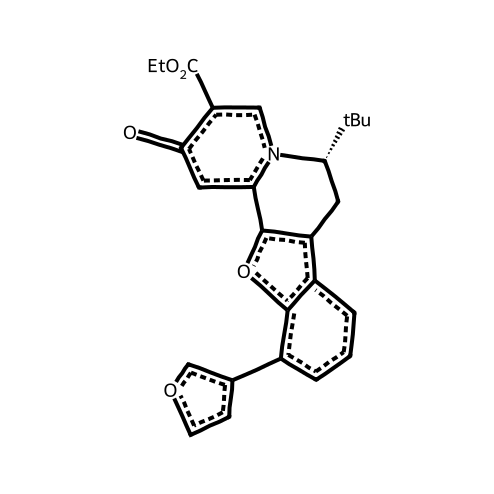 CCOC(=O)c1cn2c(cc1=O)-c1oc3c(-c4ccoc4)cccc3c1C[C@H]2C(C)(C)C